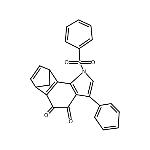 O=C1C(=O)c2c(-c3ccccc3)cn(S(=O)(=O)c3ccccc3)c2C2=C1C1C=CC2C1